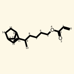 C=CC(=O)OCCCCC(C)C1=CC2CCC1C2